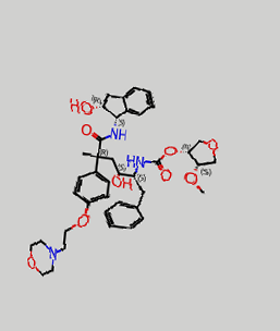 CO[C@H]1COC[C@H]1OC(=O)N[C@@H](Cc1ccccc1)[C@@H](O)C[C@@](C)(C(=O)N[C@H]1c2ccccc2C[C@H]1O)c1ccc(OCCN2CCOCC2)cc1